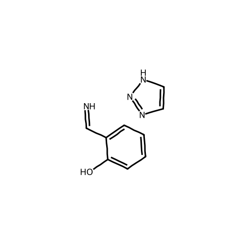 N=Cc1ccccc1O.c1c[nH]nn1